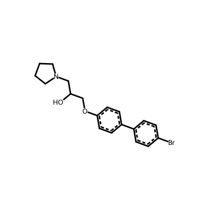 OC(COc1ccc(-c2ccc(Br)cc2)cc1)CN1CCCC1